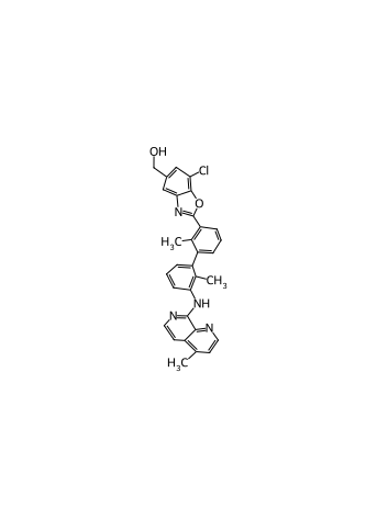 Cc1c(Nc2nccc3c(C)ccnc23)cccc1-c1cccc(-c2nc3cc(CO)cc(Cl)c3o2)c1C